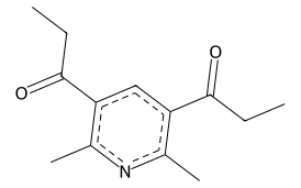 CCC(=O)c1cc(C(=O)CC)c(C)nc1C